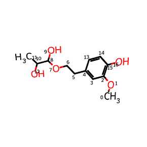 COc1cc(CCOC(O)C(C)O)ccc1O